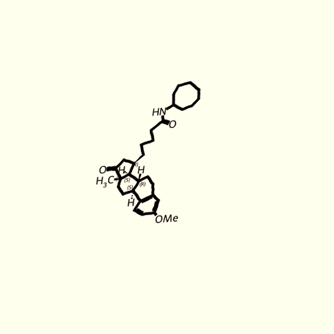 COc1ccc2c(c1)CC[C@H]1[C@@H]3[C@H](CCCCC(=O)NC4CCCCCCC4)CC(=O)[C@@]3(C)CC[C@H]21